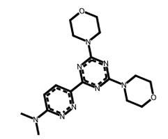 CN(C)c1ccc(-c2nc(N3CCOCC3)nc(N3CCOCC3)n2)nn1